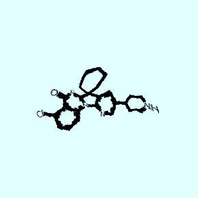 O=c1nc2n(c3cccc(Cl)c13)-c1ncc(C3CCNCC3)cc1C21CCCCC1